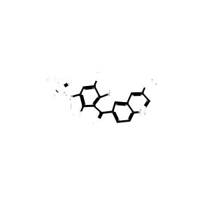 CCCS(=O)(=O)Nc1cc(F)c(F)c(C(=O)c2ccc3ncc(C#N)cc3c2)c1Cl